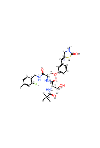 Cc1ccc(CNC(=O)[C@H](COc2cccc(/C=C3/CN(C)C(=O)S3)c2)NC(=O)[C@@H](NC(=O)C(C)(C)C)[C@@H](C)O)c(F)c1